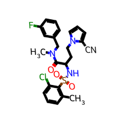 Cc1cccc(Cl)c1S(=O)(=O)NC(CCn1cccc1C#N)C(=O)N(C)Cc1cccc(F)c1